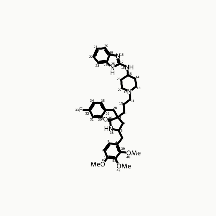 COc1ccc(CC2CC(CCCN3CCC(Nc4nc5ccccc5[nH]4)CC3)(Cc3ccc(F)cc3)C(=O)N2)c(OC)c1OC